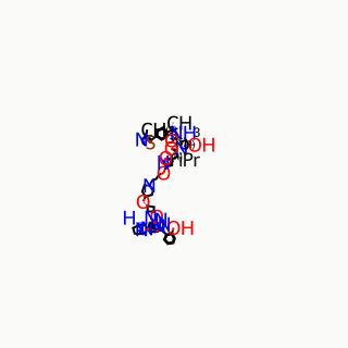 Cc1ncsc1-c1ccc([C@H](C)NC(=O)[C@@H]2C[C@@H](O)CN2C(=O)[C@@H](c2cc(OCCCN3CCC(O[C@H]4C[C@H](Oc5cc(N6C7CCC6CN(c6cc(-c8ccccc8O)nnc6N)C7)ccn5)C4)CC3)no2)C(C)C)cc1